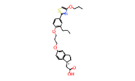 CCCOc1csc(-c2ccc(OCCCOc3ccc4c(c3)CC[C@H]4CC(=O)O)c(CCC)c2)n1